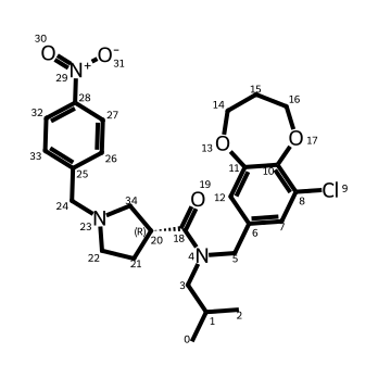 CC(C)CN(Cc1cc(Cl)c2c(c1)OCCCO2)C(=O)[C@@H]1CCN(Cc2ccc([N+](=O)[O-])cc2)C1